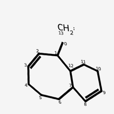 CC1C=CCCCC2C=CCCC12.[CH2]